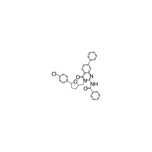 O=C(Nc1nc2cc(-c3ccccc3)ccc2c(=O)n1CC1CCC(c2ccc(Cl)cc2)O1)c1ccccc1